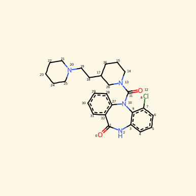 O=C1Nc2cccc(Cl)c2N(C(=O)N2CCCC(CCN3CCCCC3)C2)c2ccccc21